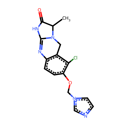 CC1C(=O)NC2=Nc3ccc(OCn4ccnc4)c(Cl)c3CN21